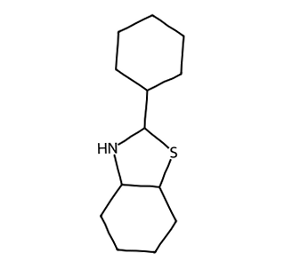 C1CCC(C2NC3CCCCC3S2)CC1